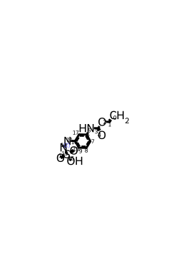 C=COC(=O)Nc1cccc(/N=N\S(=O)(=O)O)c1